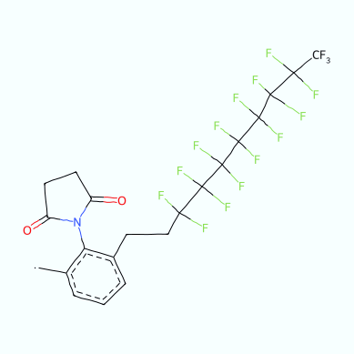 [CH2]c1cccc(CCC(F)(F)C(F)(F)C(F)(F)C(F)(F)C(F)(F)C(F)(F)C(F)(F)C(F)(F)F)c1N1C(=O)CCC1=O